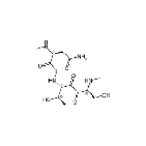 CN[C@@H](CC(N)=O)C(=O)CN[C@H](C(=O)C(=O)[C@H](CO)NC)[C@@H](C)O